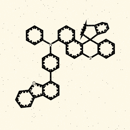 c1ccc(N(c2ccc(-c3cccc4c3oc3ccccc34)cc2)c2cccc3c4c(ccc23)Sc2ccccc2C42c3ccccc3-c3ccccc32)cc1